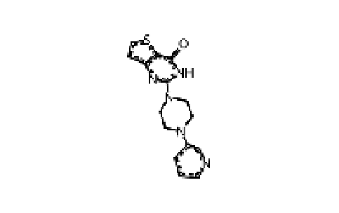 O=c1[nH]c(N2CCN(c3cccnc3)CC2)nc2ccsc12